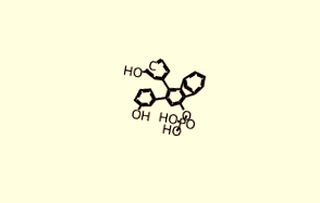 O=P(O)(O)Oc1cc(-c2cccc(O)c2)c(-c2cccc(O)c2)c2c1-c1cccc-2c1